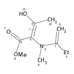 C=C(CC)N(C)/C(C(=O)OC)=C(\C)O